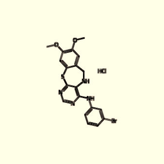 COc1cc2c(cc1OC)Sc1ncnc(Nc3cccc(Br)c3)c1NC2.Cl